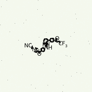 N#CCCN1CCN(C(=O)c2ccc(Nc3nc4c(C5=CCN(C(=O)CCC(F)(F)F)CC5)cccn4n3)cc2)CC1